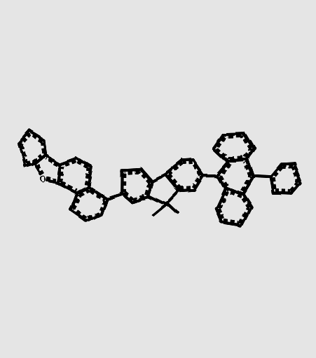 CC1(C)c2cc(-c3c4ccccc4c(-c4ccccc4)c4ccccc34)ccc2-c2ccc(-c3cccc4c3ccc3c5ccccc5oc43)cc21